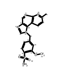 Cc1ccc2c(ncc3ncn(Cc4ccc(S(N)(=O)=O)c(OC(F)(F)F)c4)c32)n1